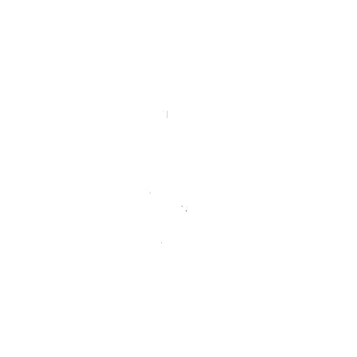 CS(=O)(=O)N1CCCC1CCCl